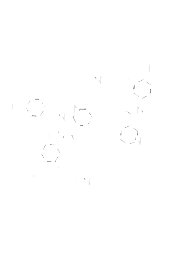 O=C(Nc1ccc(C(F)(F)F)c(OCCN2CCCC2)c1)c1cccnc1Cl.O=C(Nc1ccc(C(F)(F)F)c(OCCN2CCCC2)c1)c1cccnc1NCc1ccc(F)cc1